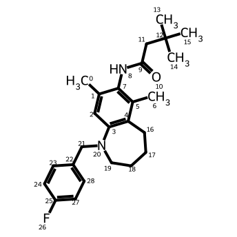 Cc1cc2c(c(C)c1NC(=O)CC(C)(C)C)CCCCN2Cc1ccc(F)cc1